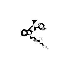 CCNC(=O)NCCn1cc(CN(C(=O)C2CNCCO2)C2CC2)c2ccccc21